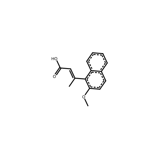 COc1ccc2ccccc2c1C(C)=CC(=O)O